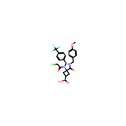 COc1ccc(CNC(=O)C2(N(Cc3ccc(C(F)(F)F)cc3)C(=O)CCl)CC(C(=O)O)C2)cc1